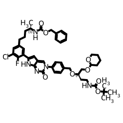 C[C@@H](CCCc1cc(Cl)c(F)c(-c2cc3cn(-c4ccc(CO[C@H](CCNC(=O)OC(C)(C)C)COC5CCCCO5)cc4)c(=O)nc3[nH]2)c1)NC(=O)OCc1ccccc1